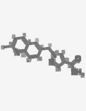 Cc1ccc2cc(Cn3cc(C(N)=O)cn3)ccc2n1